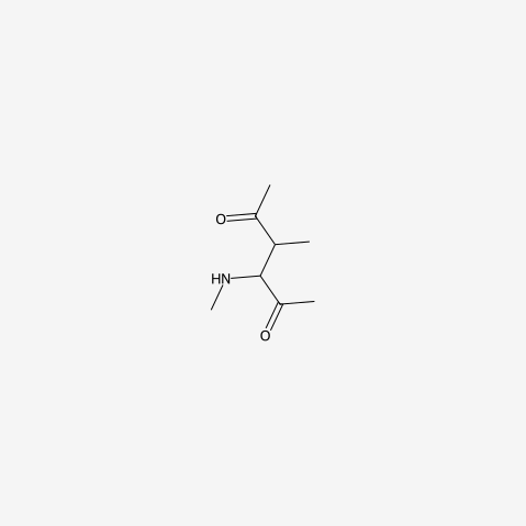 CNC(C(C)=O)C(C)C(C)=O